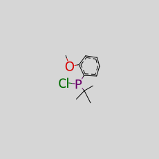 COc1ccccc1P(Cl)C(C)(C)C